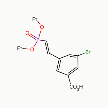 CCOP(=O)(C=Cc1cc(Br)cc(C(=O)O)c1)OCC